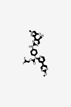 COc1ncc(-c2ccnc(N(C(=O)OCC(F)F)[C@H]3CC[C@H](Nc4ncc(C#N)c(-c5nn(C)cc5Cl)n4)CC3)c2)cn1